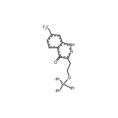 CC(C)[Si](OCCc1n[nH]c2cc(C(F)(F)F)ccc2c1=O)(C(C)C)C(C)C